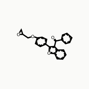 O=C(c1ccccc1)c1c(-c2ccc(OCC3CO3)cc2)oc2ccccc12